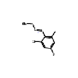 Cc1cc(Br)cc(Cl)c1/N=N/SC(C)(C)C